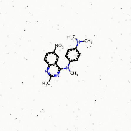 Cc1nc(N(C)c2ccc(N(C)C)cc2)c2cc([N+](=O)[O-])ccc2n1